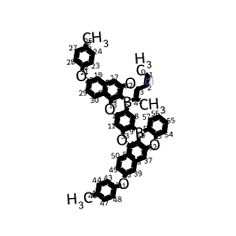 C/C=C\C1=C(C)B2c3cc4c(cc3Oc3c2c(cc2cc(Oc5ccc(C)cc5)ccc32)O1)Oc1c2c(cc3cc(Oc5ccc(C)cc5)ccc13)Oc1ccccc1B42